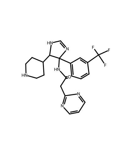 O=C(Cc1ncccn1)NC1(c2cccc(C(F)(F)F)c2)N=CNC1C1CCNCC1